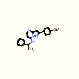 COc1ccc(-c2cc3nccc(NC(C)c4ccccc4)n3n2)cc1